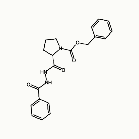 O=C(NNC(=O)[C@@H]1CCCN1C(=O)OCc1ccccc1)c1ccccc1